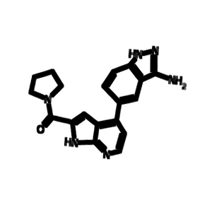 Nc1n[nH]c2ccc(-c3ccnc4[nH]c(C(=O)N5CCCC5)cc34)cc12